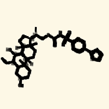 CC[C@@H]1C2C[C@H](O)CC[C@@]2(C)[C@H]2CCC3(C)[C@@H]([C@H](C)COC(=O)NS(=O)(=O)c4ccc(-n5cccn5)cc4)CC[C@H]3C2[C@@H]1O